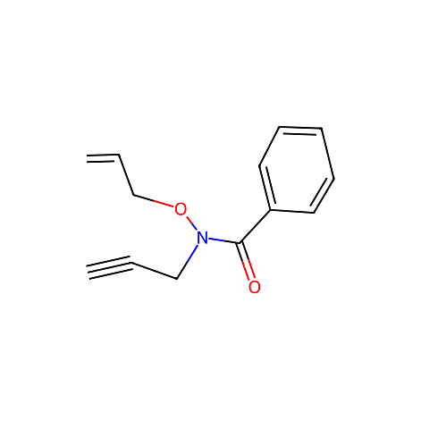 C#CCN(OCC=C)C(=O)c1ccccc1